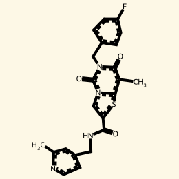 Cc1cc(CNC(=O)c2cn3c(=O)n(Cc4ccc(F)cc4)c(=O)c(C)c3s2)ccn1